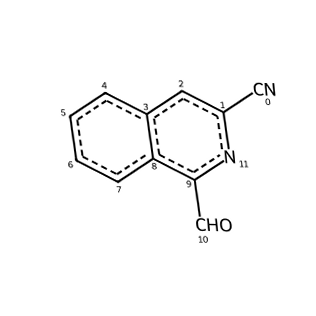 N#Cc1cc2ccccc2c(C=O)n1